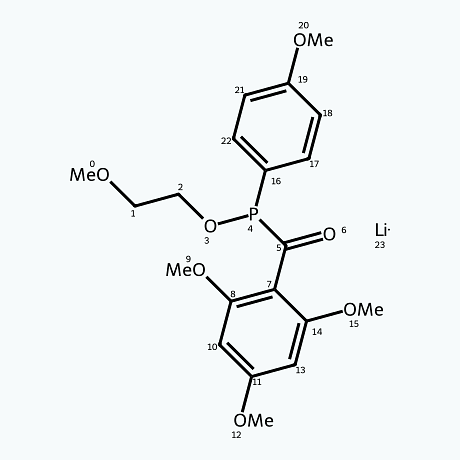 COCCOP(C(=O)c1c(OC)cc(OC)cc1OC)c1ccc(OC)cc1.[Li]